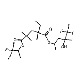 CCC(C)(CC(C)(C)C(=O)OC(C)C(F)(F)F)C(=O)OC(C)CC(C)(O)C(F)(F)F